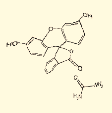 NC(N)=O.O=C1OC2(c3ccc(O)cc3Oc3cc(O)ccc32)c2ccccc21